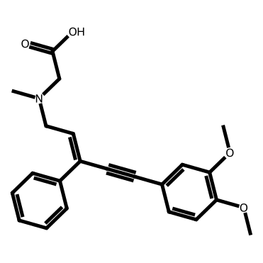 COc1ccc(C#CC(=CCN(C)CC(=O)O)c2ccccc2)cc1OC